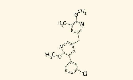 COc1ncc(Cc2cnc(OC)c(-c3cccc(Cl)c3)c2)cc1C